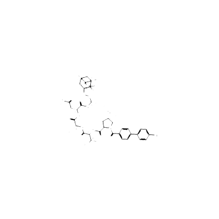 CCCCc1ccc(-c2ccc(C(=O)N3C[C@@H](N)CC3C(=O)N[C@H](C(=O)N[C@@H](C)C(=O)N[C@@H](CC(N)=O)C(=O)N[C@@H](C)B3OC4C[C@@H]5C[C@@H](C5(C)C)[C@]4(C)O3)[C@@H](C)O)cc2)cc1